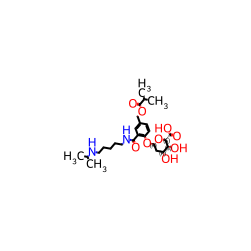 CC(C)NCCCCCNC(=O)c1cc(COC(=O)C(C)C)ccc1O[C@@H]1C[C@@H](O)[C@H](O)[C@@H](C(=O)O)O1